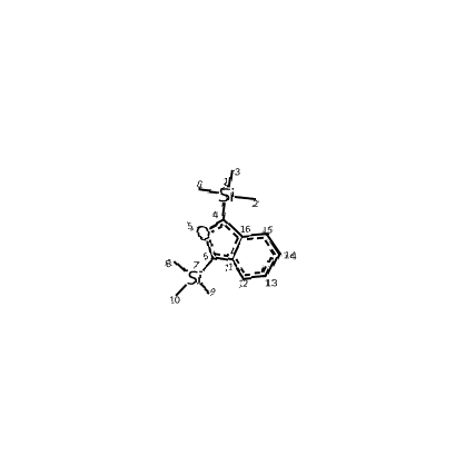 C[Si](C)(C)c1oc([Si](C)(C)C)c2ccccc12